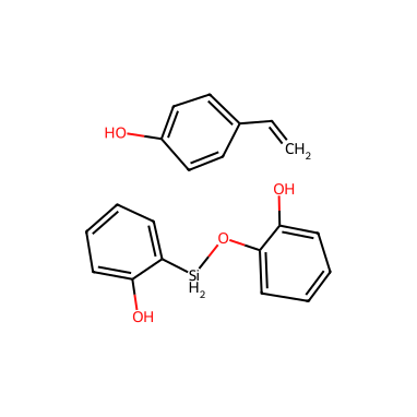 C=Cc1ccc(O)cc1.Oc1ccccc1O[SiH2]c1ccccc1O